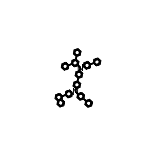 c1ccc(-c2ccc(N(c3ccc(-c4ccc(N(c5ccc(-c6ccccc6)cc5)c5cc(-c6ccccc6)cc(-c6ccccc6)c5)cc4)cc3)c3ccc(-c4cccc5ccccc45)cc3)cc2)cc1